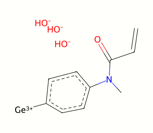 C=CC(=O)N(C)c1cc[c]([Ge+3])cc1.[OH-].[OH-].[OH-]